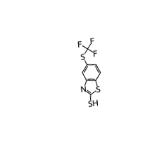 FC(F)(F)Sc1ccc2sc(S)nc2c1